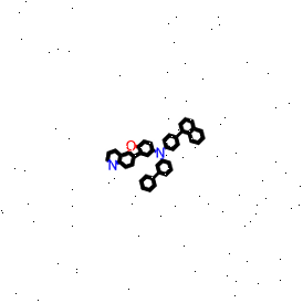 c1ccc(-c2cccc(N(c3ccc(-c4cccc5ccccc45)cc3)c3ccc4oc5c6cccnc6ccc5c4c3)c2)cc1